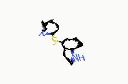 c1ccc(Sc2cccc3[nH]ccc23)nc1